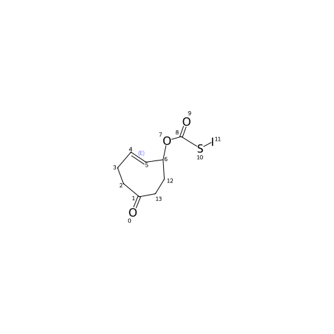 O=C1CC/C=C/C(OC(=O)SI)CC1